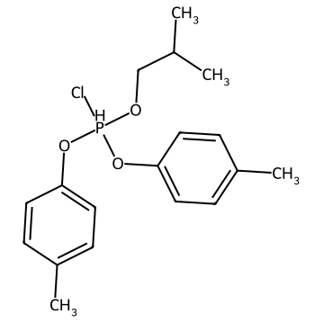 Cc1ccc(O[PH](Cl)(OCC(C)C)Oc2ccc(C)cc2)cc1